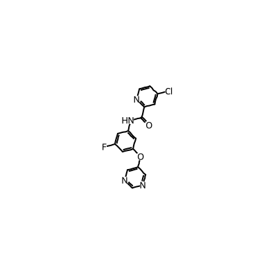 O=C(Nc1cc(F)cc(Oc2cncnc2)c1)c1cc(Cl)ccn1